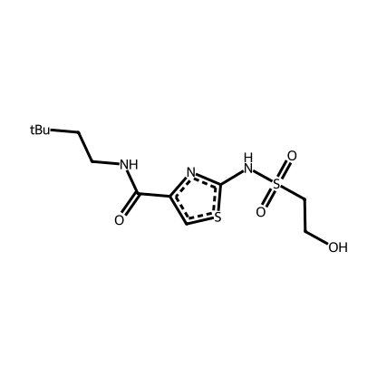 CC(C)(C)CCNC(=O)c1csc(NS(=O)(=O)CCO)n1